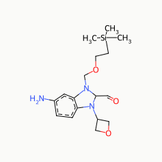 C[Si](C)(C)CCOCN1c2cc(N)ccc2N(C2COC2)C1C=O